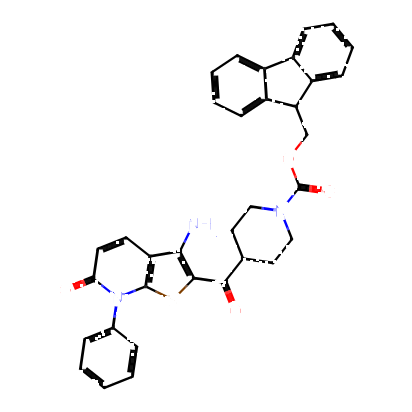 Nc1c(C(=O)C2CCN(C(=O)OCC3c4ccccc4-c4ccccc43)CC2)sc2c1ccc(=O)n2-c1ccccc1